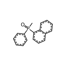 CP(=O)(c1ccccc1)c1cccc2ccccc12